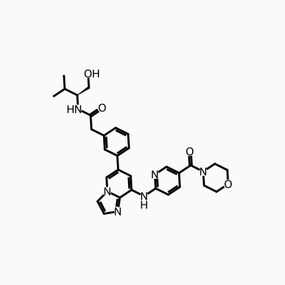 CC(C)[C@@H](CO)NC(=O)Cc1cccc(-c2cc(Nc3ccc(C(=O)N4CCOCC4)cn3)c3nccn3c2)c1